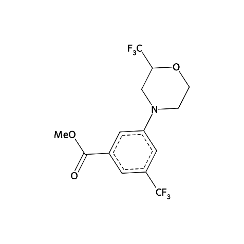 COC(=O)c1cc(N2CCOC(C(F)(F)F)C2)cc(C(F)(F)F)c1